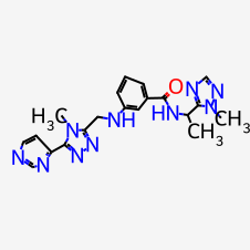 CC(NC(=O)c1cccc(NCc2nnc(-c3ccncn3)n2C)c1)c1ncnn1C